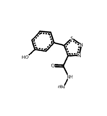 CCCCNC(=O)c1nnsc1-c1cccc(O)c1